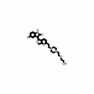 O=C1Nc2ccc(F)cc2C1=C1OCc2nc(CCN3CCN(CCOCCO)CC3)ccc21